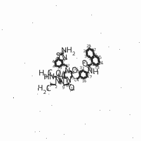 C=CCN(C(=O)NC)N1CC(=O)N2[C@@H](Cc3ccc(NC(=O)c4cccc5ccccc45)cc3)C(=O)N(Cc3cccc4sc(N)nc34)C[C@@H]21